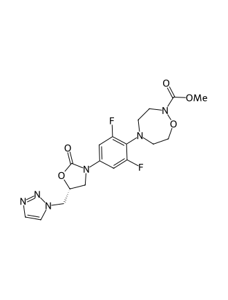 COC(=O)N1CCN(c2c(F)cc(N3C[C@H](Cn4ccnn4)OC3=O)cc2F)CCO1